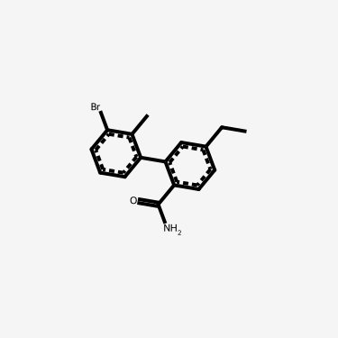 CCc1ccc(C(N)=O)c(-c2cccc(Br)c2C)c1